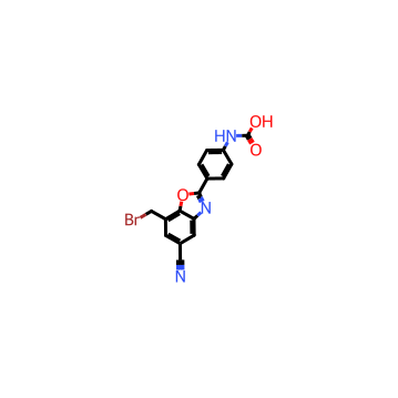 N#Cc1cc(CBr)c2oc(-c3ccc(NC(=O)O)cc3)nc2c1